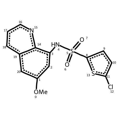 COc1cc(NS(=O)(=O)c2ccc(Cl)s2)c2ncccc2c1